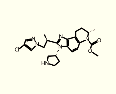 COC(=O)N1c2ccc3c(nc([C@H](C)Cn4cc(Cl)cn4)n3[C@@H]3CCNC3)c2CC[C@@H]1C